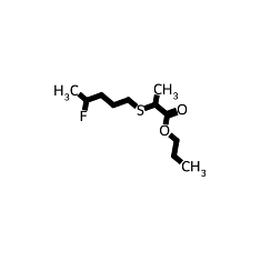 CCCOC(=O)C(C)SCCCC(C)F